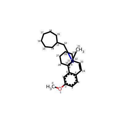 COc1ccc2c(c1)C13C=CN(CC4CCCCCC4)C(C)C1(C=C2)CCCC3